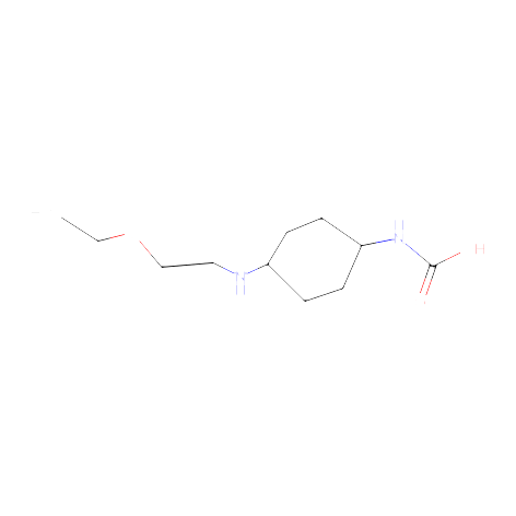 CCOCCNC1CCC(NC(=O)O)CC1